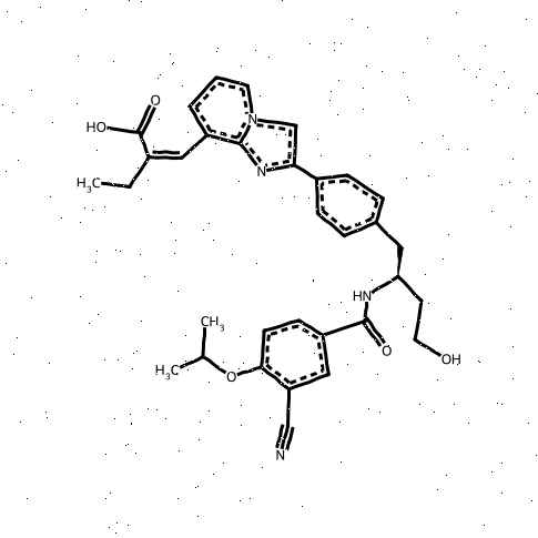 CCC(=Cc1cccn2cc(-c3ccc(C[C@@H](CCO)NC(=O)c4ccc(OC(C)C)c(C#N)c4)cc3)nc12)C(=O)O